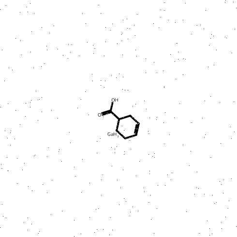 O=C(O)C1CC=CCC1.[GaH3]